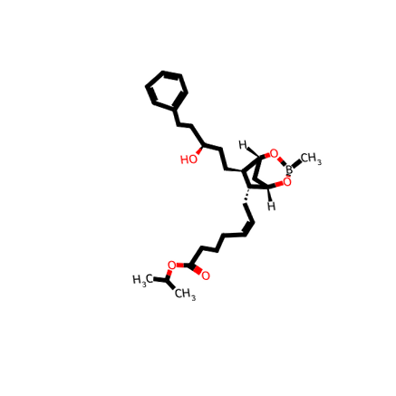 CB1O[C@H]2C[C@@H](O1)[C@H](CC[C@@H](O)CCc1ccccc1)[C@H]2C/C=C\CCCC(=O)OC(C)C